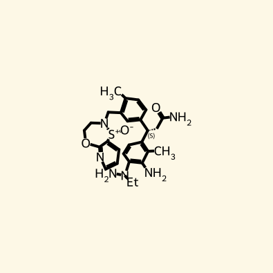 CCN(N)c1ccc([C@@H](CC(N)=O)c2ccc(C)c(CN3CCOc4ncccc4[S+]3[O-])c2)c(C)c1N